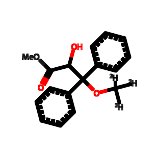 [2H]C([2H])([2H])OC(c1ccccc1)(c1ccccc1)C(O)C(=O)OC